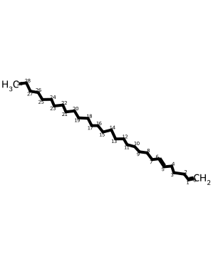 C=CCCCC=CCCCCCCCCCCCCCCCCCCCCCCC